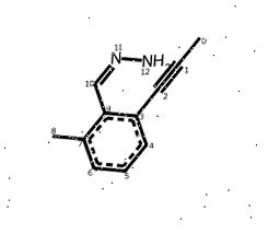 CC#Cc1cccc(C)c1/C=N\N